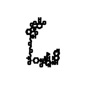 CN(CCOCCOCCNc1cccc2c1C(=O)N(C1CCC(=O)NC1=O)C2=O)C(=O)[C@H]1CC[C@H](NC(=O)c2cnc(Nc3ccc4cnccc4n3)cc2NC2CC2)CC1